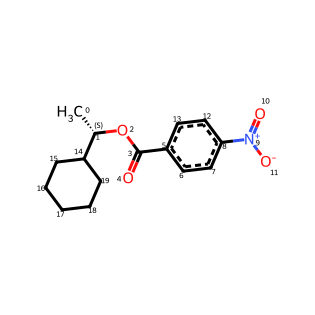 C[C@H](OC(=O)c1ccc([N+](=O)[O-])cc1)C1CCCCC1